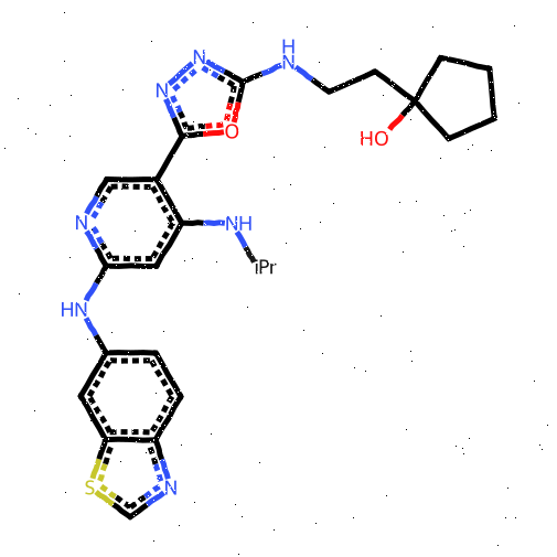 CC(C)Nc1cc(Nc2ccc3ncsc3c2)ncc1-c1nnc(NCCC2(O)CCCC2)o1